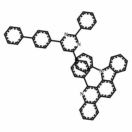 c1ccc(-c2ccc(-c3cc(-c4ccc(-c5nc6ccccc6c6ccc7c8ccccc8n(-c8ccccc8)c7c56)cc4)nc(-c4ccccc4)n3)cc2)cc1